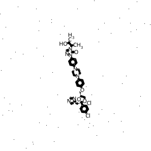 CC(O)C(C)n1cnn(-c2ccc(N3CCN(c4ccc(OC[C@@H]5CO[C@@](Cn6cncn6)(c6ccc(Cl)cc6Cl)O5)cc4)CC3)cc2)c1=O